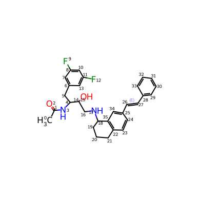 CC(=O)NC(Cc1cc(F)cc(F)c1)C(O)CNC1CCCc2ccc(/C=C/c3ccccc3)cc21